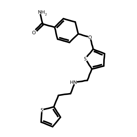 NC(=O)C1=CCC(Oc2ccc(CNCCc3cccs3)s2)C=C1